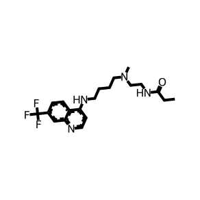 CCC(=O)NCCN(C)CCCCNc1ccnc2cc(C(F)(F)F)ccc12